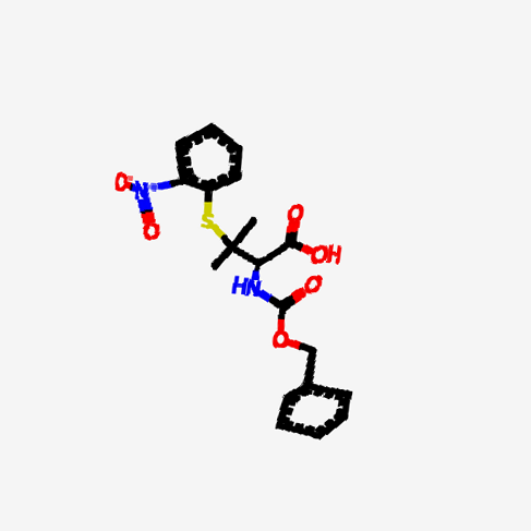 CC(C)(Sc1ccccc1[N+](=O)[O-])[C@H](NC(=O)OCc1ccccc1)C(=O)O